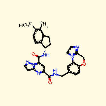 Cc1c(C(=O)O)ccc2c1CC[C@@H]2NC(=O)c1cc(C(=O)NCc2ccc3c(c2)-n2ccnc2CO3)nc2ccnn12